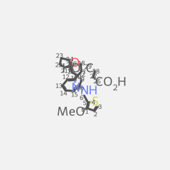 COc1ccsc1CNCC[C@@]1(c2ccccn2)CCOC2(CCCC2)C1.O=C(O)CCC(=O)O